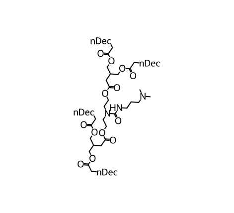 CCCCCCCCCCCC(=O)OCC(COC(=O)CCCCCCCCCCC)CC(=O)OCCN(CCOC(=O)CC(COC(=O)CCCCCCCCCCC)COC(=O)CCCCCCCCCCC)C(=O)NCCCN(C)C